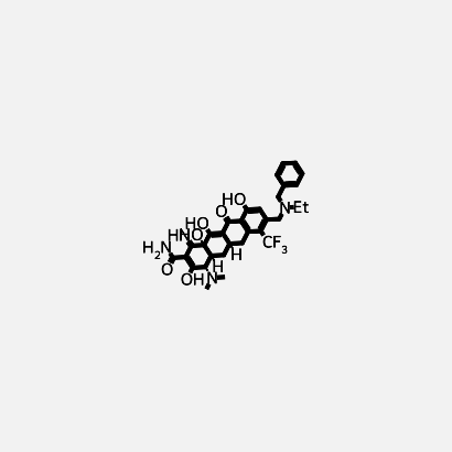 CCN(Cc1ccccc1)Cc1cc(O)c2c(c1C(F)(F)F)C[C@H]1C[C@H]3[C@H](N(C)C)C(O)=C(C(N)=O)C(=N)[C@@]3(O)C(O)=C1C2=O